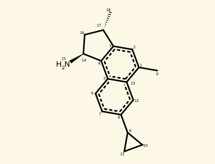 Cc1cc2c(c3ccc(C4CC4)cc13)[C@@H](N)C[C@@H]2C